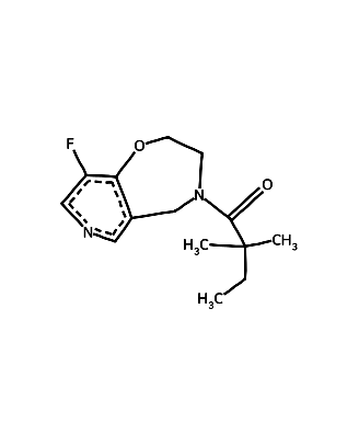 CCC(C)(C)C(=O)N1CCOc2c(F)cncc2C1